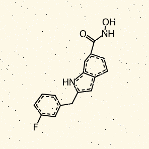 O=C(NO)c1ccc2cc(Cc3cccc(F)c3)[nH]c2c1